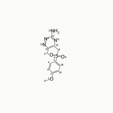 COc1ccc(S(=O)(=O)Cc2nc(N)nnc2C)cc1